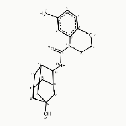 Nc1ccc2c(c1)N(C(=O)NC1C3CC4CC1CC(O)(C4)C3)CCO2